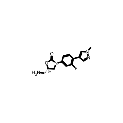 Cn1cc(-c2ccc(N3C[C@H](CN)OC3=O)cc2F)cn1